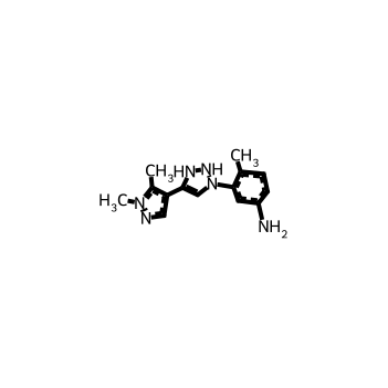 Cc1ccc(N)cc1N1C=C(c2cnn(C)c2C)NN1